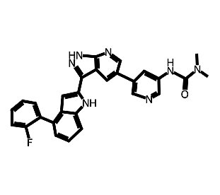 CN(C)C(=O)Nc1cncc(-c2cnc3[nH]nc(-c4cc5c(-c6ccccc6F)cccc5[nH]4)c3c2)c1